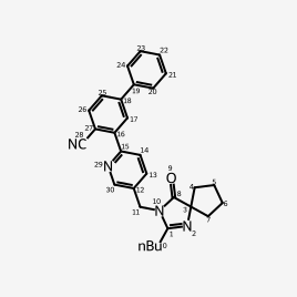 CCCCC1=NC2(CCCC2)C(=O)N1Cc1ccc(-c2cc(-c3ccccc3)ccc2C#N)nc1